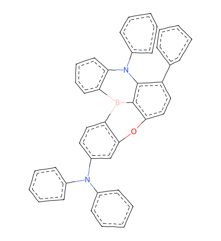 c1ccc(-c2ccc3c4c2N(c2ccccc2)c2ccccc2B4c2ccc(N(c4ccccc4)c4ccccc4)cc2O3)cc1